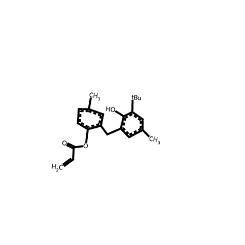 C=CC(=O)Oc1ccc(C)cc1Cc1cc(C)cc(C(C)(C)C)c1O